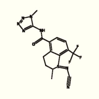 CC1CCc2c(C(=O)Nc3nnnn3C)ccc(C(F)(F)F)c2/S1=N/C#N